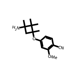 COc1cc(OC2(C)CC(C)(N)C2(C)C)ccc1C#N